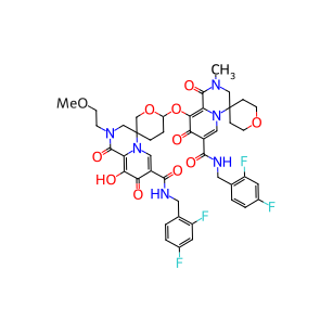 COCCN1CC2(CCC(Oc3c4n(cc(C(=O)NCc5ccc(F)cc5F)c3=O)C3(CCOCC3)CN(C)C4=O)OC2)n2cc(C(=O)NCc3ccc(F)cc3F)c(=O)c(O)c2C1=O